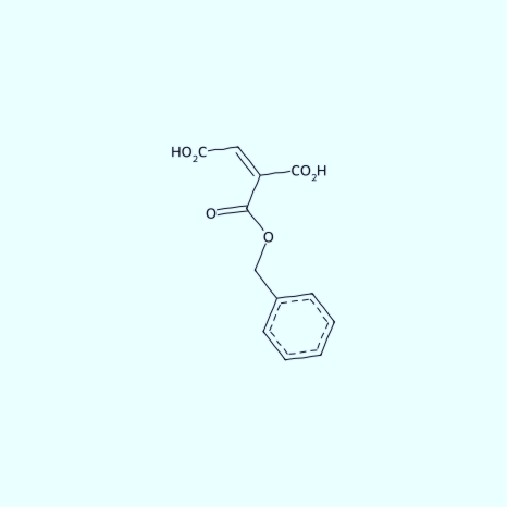 O=C(O)/C=C(/C(=O)O)C(=O)OCc1ccccc1